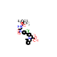 CC(C)(C)OC(=O)NCC1COC(=O)N1c1ccc(-c2cc3c(cc2F)c(=O)c(C(=O)O)c(Cc2ccccc2)n3C2CC2)c(F)c1